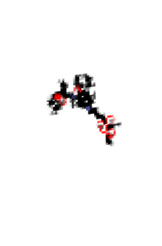 CCOC(=O)[C@@H](C)OC(=O)CCC/C=C1\C[C@H]2C[C@@H](O[Si](CC)(CC)CC)[C@H](/C=C/[C@@H](O[Si](CC)(CC)CC)C(C)CC)[C@H]2C1